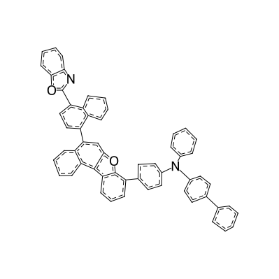 c1ccc(-c2ccc(N(c3ccccc3)c3ccc(-c4cccc5c4oc4cc(-c6ccc(-c7nc8ccccc8o7)c7ccccc67)c6ccccc6c45)cc3)cc2)cc1